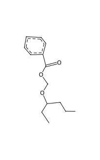 CCCC(CC)OCOC(=O)c1ccccc1